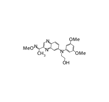 CO/N=C(\C)c1cnc2ccc(N(CCO)c3cc(OC)cc(OC)c3)cc2n1